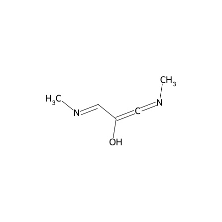 CN=C=C(O)C=NC